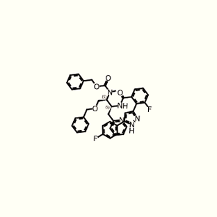 CN(C(=O)OCc1ccccc1)[C@H](COCc1ccccc1)[C@H](Cc1ccccn1)NC(=O)c1cccc(F)c1-c1cc(-c2ccc(F)cc2)[nH]n1